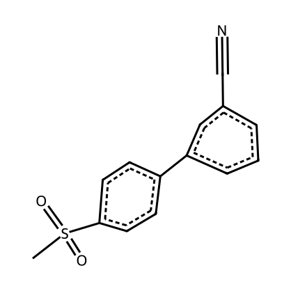 CS(=O)(=O)c1ccc(-c2cccc(C#N)c2)cc1